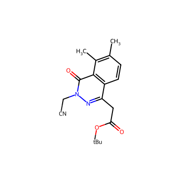 Cc1ccc2c(CC(=O)OC(C)(C)C)nn(CC#N)c(=O)c2c1C